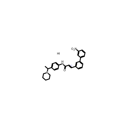 CC(c1ccc(NC(=O)/C=C/c2cccc(-c3cccc([N+](=O)[O-])c3)c2)cc1)N1CCCCC1.I